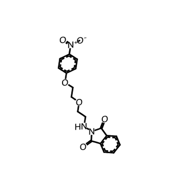 O=C1c2ccccc2C(=O)N1NCCOCCOc1ccc([N+](=O)[O-])cc1